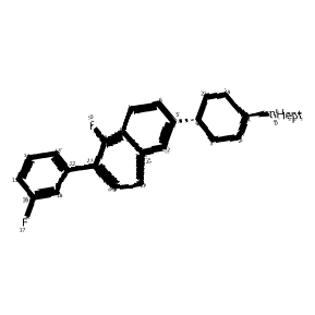 CCCCCCC[C@H]1CC[C@H](c2ccc3c(F)c(-c4cccc(F)c4)ccc3c2)CC1